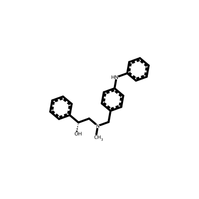 CN(Cc1ccc(Nc2ccccc2)cc1)C[C@H](O)c1ccccc1